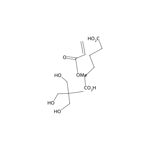 C=CC(=O)OC.CC(CO)(CO)CO.O=C(O)CCCCC(=O)O